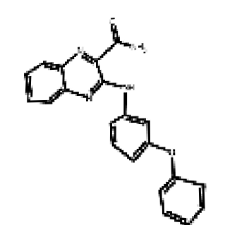 NC(=O)c1nc2ccccc2nc1Nc1cccc(Oc2ccccc2)c1